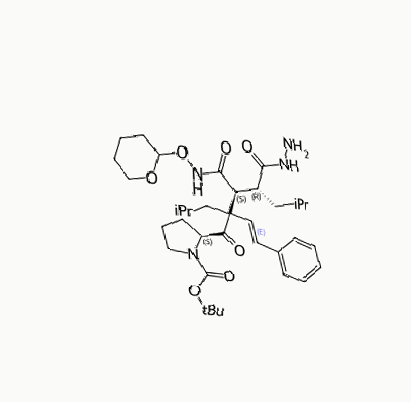 CC(C)C[C@@H](C(=O)NN)[C@H](C(=O)NOC1CCCCO1)C(/C=C/c1ccccc1)(CC(C)C)C(=O)[C@@H]1CCCN1C(=O)OC(C)(C)C